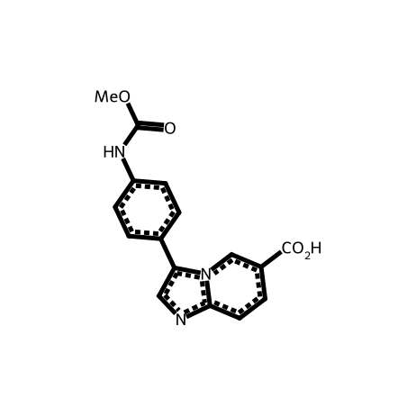 COC(=O)Nc1ccc(-c2cnc3ccc(C(=O)O)cn23)cc1